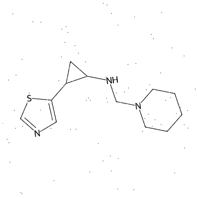 c1ncc(C2CC2NCN2CCCCC2)s1